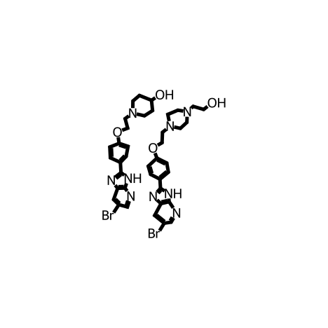 OC1CCN(CCOc2ccc(-c3nc4cc(Br)cnc4[nH]3)cc2)CC1.OCCN1CCN(CCOc2ccc(-c3nc4cc(Br)cnc4[nH]3)cc2)CC1